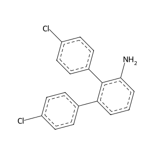 Nc1cccc(-c2ccc(Cl)cc2)c1-c1ccc(Cl)cc1